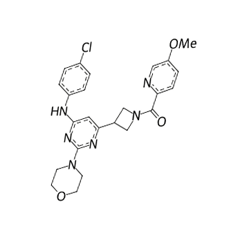 COc1ccc(C(=O)N2CC(c3cc(Nc4ccc(Cl)cc4)nc(N4CCOCC4)n3)C2)nc1